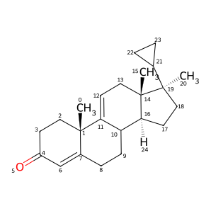 C[C@]12CCC(=O)C=C1CCC1C2=CC[C@@]2(C)[C@H]1CC[C@]2(C)C1CC1